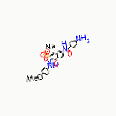 COc1ccc(N/N=C2\C(=O)c3ccc(NC(=O)c4ccc(N)cc4)cc3C=C2S(=O)(=O)[O-])cc1.[Na+]